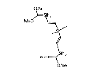 COC(OC)[SiH2]C=C[Si](C)(C)C=C[SiH2]C(OC)OC